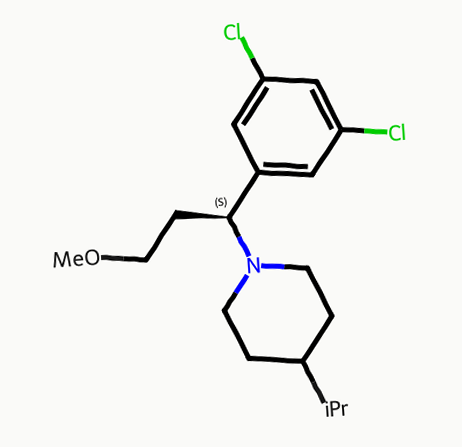 COCC[C@@H](c1cc(Cl)cc(Cl)c1)N1CCC(C(C)C)CC1